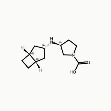 O=C(O)N1CC[C@H](N[C@H]2C[C@H]3CC[C@H]3C2)C1